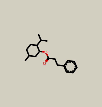 CC1CCC(C(C)C)C(OC(=O)CCc2ccccc2)C1